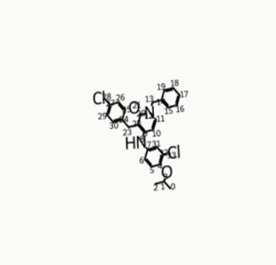 CC(C)Oc1ccc(Nc2ccn(Cc3ccccc3)c(=O)c2Cc2ccc(Cl)cc2)cc1Cl